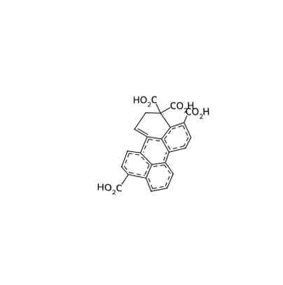 O=C(O)c1ccc2c3c1C(C(=O)O)(C(=O)O)CC=c3c1ccc(C(=O)O)c3cccc2c31